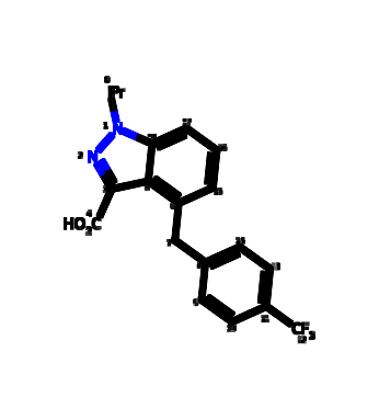 CC(C)n1nc(C(=O)O)c2c(Cc3ccc(C(F)(F)F)cc3)cccc21